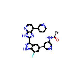 CCC(=O)Nc1cncc(-c2cc(F)c3[nH]nc(-c4nc5c(-c6cccnc6)ccnc5[nH]4)c3c2)c1